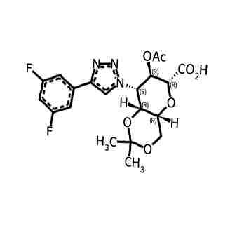 CC(=O)O[C@@H]1[C@@H](n2cc(-c3cc(F)cc(F)c3)nn2)[C@H]2OC(C)(C)OC[C@H]2O[C@H]1C(=O)O